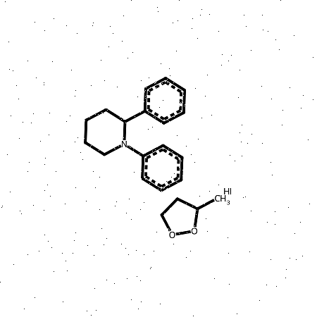 CC1CCOO1.I.c1ccc(C2CCCCN2c2ccccc2)cc1